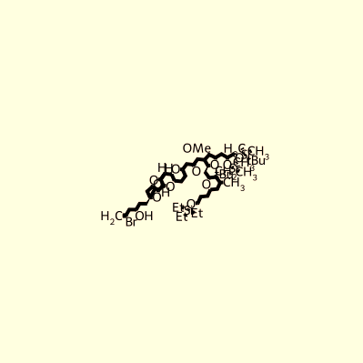 C=C(Br)CC(O)CC[C@@]12CC3OC4[C@@H](OC5CCC(CC(=O)CC6[C@@H](OC)C(CC(CO[Si](C)(C)C(C)(C)C)O[Si](C)(C)C(C)(C)C)O[C@H]6CC6OC(CCCO[Si](CC)(CC)CC)CC(C)C6=C)O[C@@H]5[C@@H]4O1)C3O2